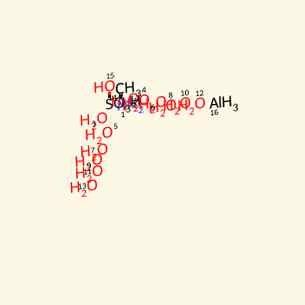 CN.O.O.O.O.O.O.O.O.O.O.O.O.O=S(=O)(O)O.[AlH3]